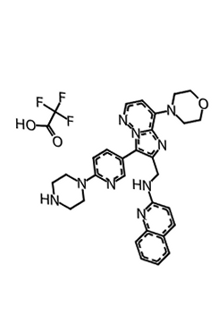 O=C(O)C(F)(F)F.c1ccc2nc(NCc3nc4c(N5CCOCC5)ccnn4c3-c3ccc(N4CCNCC4)nc3)ccc2c1